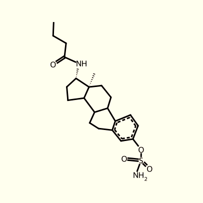 CCCC(=O)N[C@H]1CCC2C3CCc4cc(OS(N)(=O)=O)ccc4C3CC[C@@]21C